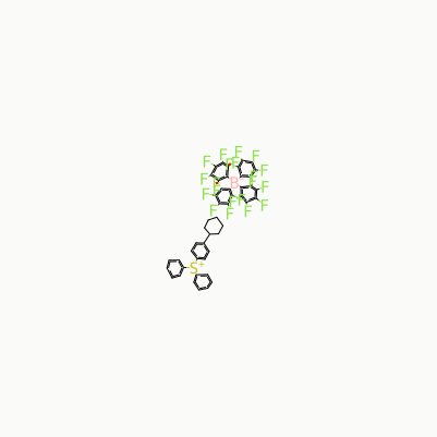 Fc1c(F)c(F)c([B-](c2c(F)c(F)c(F)c(F)c2F)(c2c(F)c(F)c(F)c(F)c2F)c2c(F)c(F)c(F)c(F)c2F)c(F)c1F.c1ccc([S+](c2ccccc2)c2ccc(C3CCCCC3)cc2)cc1